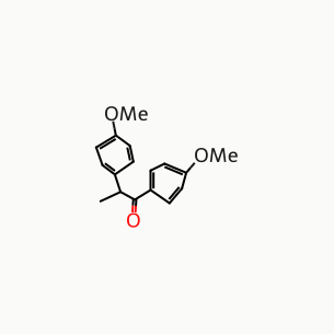 COc1ccc(C(=O)C(C)c2ccc(OC)cc2)cc1